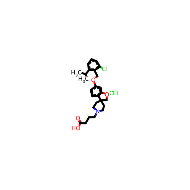 CC(C)c1cccc(Cl)c1COc1ccc2c(c1)OCC21CCN(CCCC(=O)O)CC1.Cl